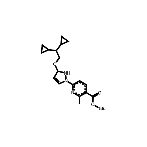 Cc1nc(N2C=CC(OCC(C3CC3)C3CC3)N2)ccc1C(=O)OC(C)(C)C